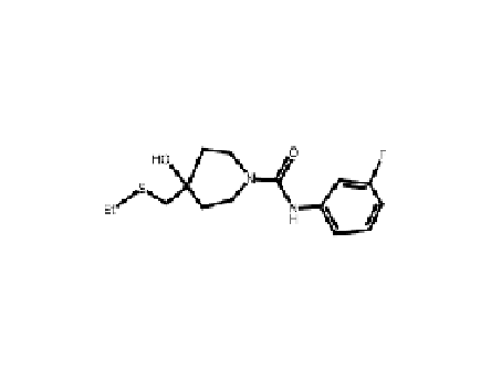 CCSCC1(O)CCN(C(=O)Nc2cccc(F)c2)CC1